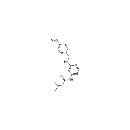 COc1ccc(CNc2cc(NC(=O)CN(C)C)ncn2)cc1